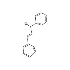 [O]C(C=Cc1ccccc1)c1ccccc1